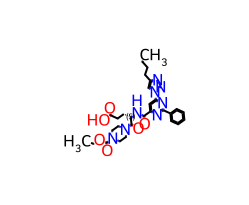 CCCCc1cn(-c2cc(C(=O)N[C@@H](CCC(=O)O)C(=O)N3CCN(C(=O)OCC)CC3)nc(-c3ccccc3)n2)nn1